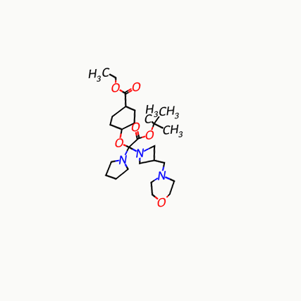 CCOC(=O)C1CCC(OC(C(=O)OC(C)(C)C)(N2CCCC2)N2CC(CN3CCOCC3)C2)CC1